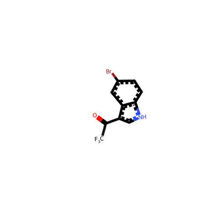 O=C(c1c[nH]c2ccc(Br)cc12)C(F)(F)F